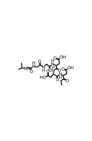 CCC(=O)C(CC(=O)O)NC(=O)C(CC(=O)O)NC(=O)C(CC(=O)O)NC(=O)CNC(=O)CNC(=O)CNC(C)C